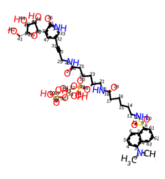 CN(C)c1cccc2c(S(=O)(=O)NCCCCCC(=O)NCC(CCCC(=O)NCC#Cc3c[nH]c(=O)c([C@@H]4O[C@H](CO)[C@@H](O)[C@H]4O)c3)OP(=O)(O)OP(=O)(O)OP(=O)(O)O)cccc12